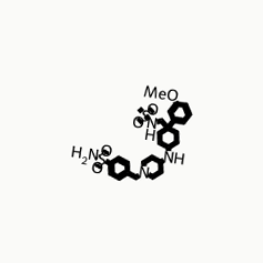 COc1cccc(C2(CNS(C)(=O)=O)CCC(NC3CCN(Cc4ccc(S(N)(=O)=O)cc4)CC3)CC2)c1